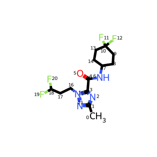 Cc1nc(C(=O)NC2CCC(F)(F)CC2)n(CCC(F)F)n1